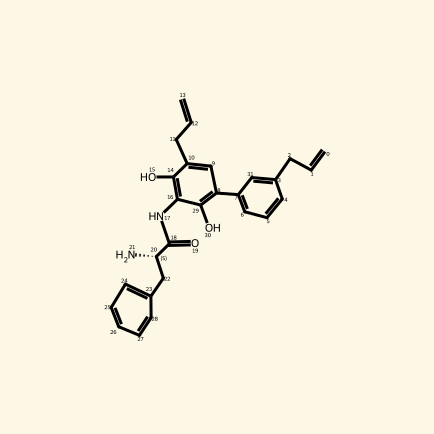 C=CCc1cccc(-c2cc(CC=C)c(O)c(NC(=O)[C@@H](N)Cc3ccccc3)c2O)c1